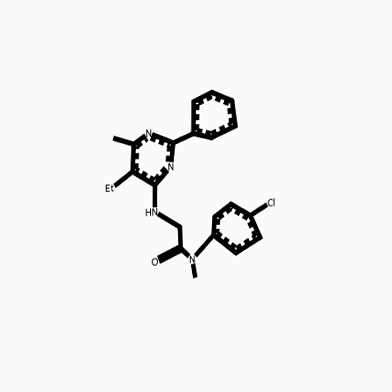 CCc1c(C)nc(-c2ccccc2)nc1NCC(=O)N(C)c1ccc(Cl)cc1